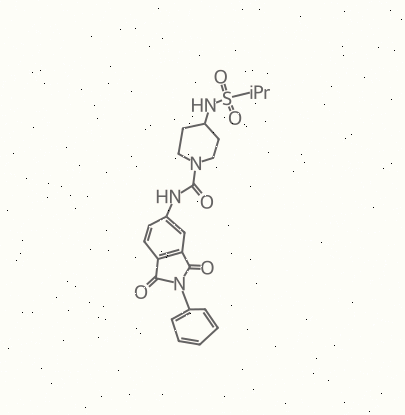 CC(C)S(=O)(=O)NC1CCN(C(=O)Nc2ccc3c(c2)C(=O)N(c2ccccc2)C3=O)CC1